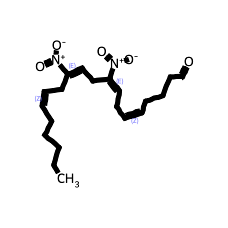 CCCCC/C=C\C/C(=C\C/C(=C\C/C=C\CCC[C]=O)[N+](=O)[O-])[N+](=O)[O-]